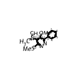 COc1c(-c2ccccc2)nnc(SC)c1N(C)C